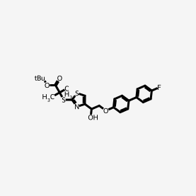 CC(C)(C)OC(=O)C(C)(C)Sc1nc(C(O)COc2ccc(-c3ccc(F)cc3)cc2)cs1